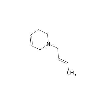 C/C=C/CN1CC=CCC1